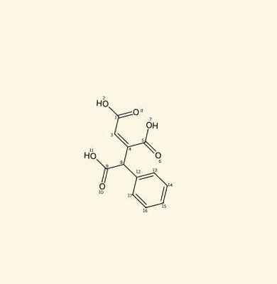 O=C(O)/C=C(\C(=O)O)C(C(=O)O)c1ccccc1